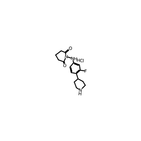 Cl.O=C1CCCC(=O)N1Nc1ccc(C2CCNCC2)c(F)c1